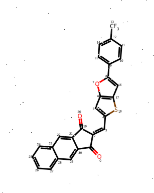 O=C1C(=Cc2cc3oc(-c4ccc(C(F)(F)F)cc4)cc3s2)C(=O)c2cc3ccccc3cc21